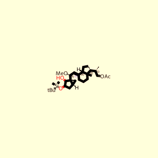 CO[C@H](/C=C1\CCCC2(C)[C@@H]([C@H](C)COC(C)=O)CC[C@@H]12)[C@]12C[C@H]1CC(O[Si](C)(C)C(C)(C)C)C2O